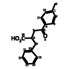 Cc1ccc(C(=O)CC(Cc2ccccc2)C(=O)O)cc1